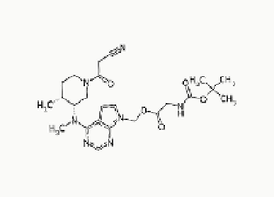 C[C@@H]1CCN(C(=O)CC#N)C[C@@H]1N(C)c1ncnc2c1ccn2COC(=O)CNC(=O)OC(C)(C)C